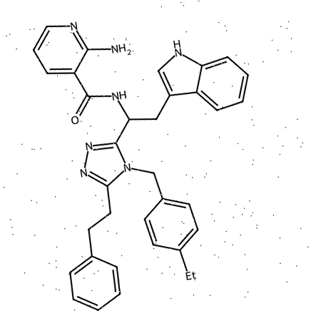 CCc1ccc(Cn2c(CCc3ccccc3)nnc2C(Cc2c[nH]c3ccccc23)NC(=O)c2cccnc2N)cc1